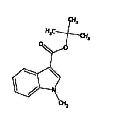 Cn1cc(C(=O)OC(C)(C)C)c2ccccc21